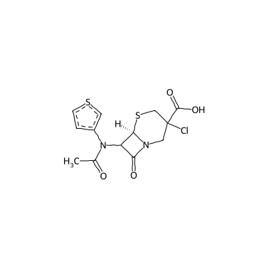 CC(=O)N(c1ccsc1)C1C(=O)N2CC(Cl)(C(=O)O)CS[C@H]12